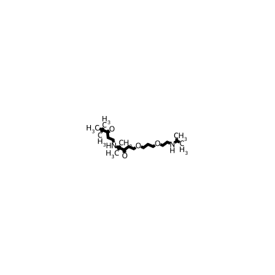 CC(C)NCCOCCCOCCC(=O)C(C)(C)NCCC(=O)C(C)(C)C